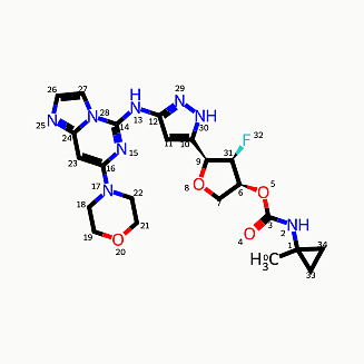 CC1(NC(=O)O[C@H]2CO[C@@H](c3cc(Nc4nc(N5CCOCC5)cc5nccn45)n[nH]3)[C@H]2F)CC1